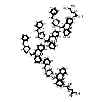 C1=C(CN2CCN(Cc3ccccc3)CC2)c2ccccc2Oc2ccccc21.C1=C(CN2CCN(Cc3ccccc3)CC2)c2ccccc2Oc2ccccc21.C1=C(CN2CCN(Cc3ccccc3)CC2)c2ccccc2Oc2ccccc21.C1=C(CN2CCN(Cc3ccccc3)CC2)c2ccccc2Oc2ccccc21.O=C(O)C=CC(=O)O.O=C(O)C=CC(=O)O